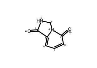 O=C1NCn2c1cccc2=O